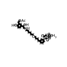 CC(=O)OCc1cc([C@@H](O)CNCCCCCCOCCCCc2cccc(N3C(=O)CN(S(C)(=O)=O)C3=O)c2)ccc1O